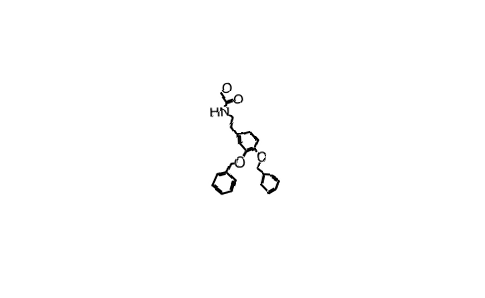 O=CC(=O)NCCc1ccc(OCc2ccccc2)c(OCc2ccccc2)c1